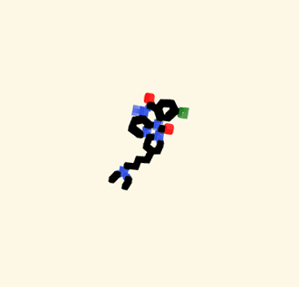 CCN(CC)CCCCC1CCN(C(=O)N2c3cc(Cl)ccc3C(=O)Nc3cccnc32)CC1